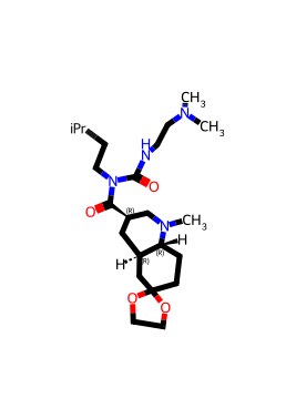 CC(C)CCN(C(=O)NCCN(C)C)C(=O)[C@@H]1C[C@@H]2CC3(CC[C@H]2N(C)C1)OCCO3